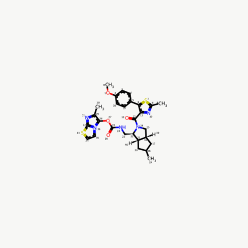 COc1ccc(-c2sc(C)nc2C(=O)N2C[C@@H]3CC(C)C[C@@H]3[C@H]2CNC(=O)Oc2c(C)nc3sccn23)cc1